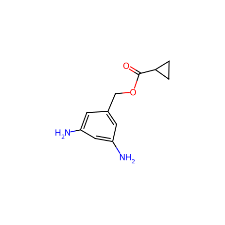 Nc1cc(N)cc(COC(=O)C2CC2)c1